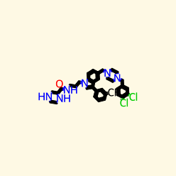 O=C(NCCCn1cc(-c2cccc(C(F)(F)F)c2)c2cc(CN3CCN(Cc4ccc(Cl)c(Cl)c4)CC3)ccc21)C1CNCCN1